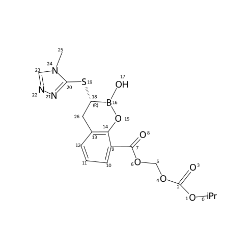 CC(C)OC(=O)OCOC(=O)c1cccc2c1OB(O)[C@@H](Sc1nncn1C)C2